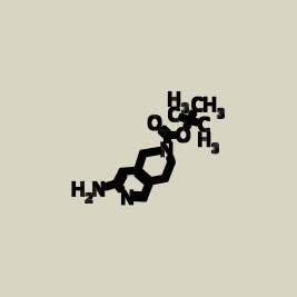 CC(C)(C)OC(=O)N1CCc2cnc(N)cc2C1